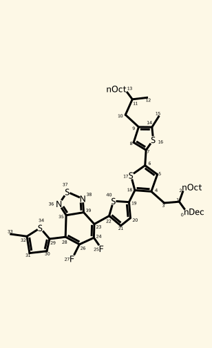 CCCCCCCCCCC(CCCCCCCC)Cc1cc(-c2cc(CC(C)CCCCCCCC)c(C)s2)sc1-c1ccc(-c2c(F)c(F)c(-c3ccc(C)s3)c3nsnc23)s1